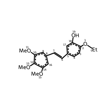 CCOc1ccc(/C=C/c2cc(OC)c(OC)c(OC)c2)cc1O